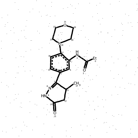 CCC(=O)Nc1cc(C2=NNC(=O)CC2C)ccc1N1CCOCC1